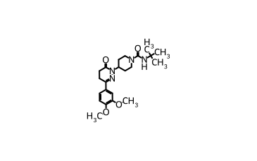 COc1ccc(C2=NN(C3CCN(C(=O)NC(C)(C)C)CC3)C(=O)CC2)cc1OC